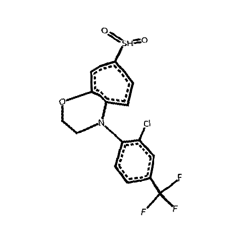 O=[SH](=O)c1ccc2c(c1)OCCN2c1ccc(C(F)(F)F)cc1Cl